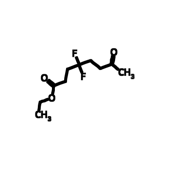 CCOC(=O)CCC(F)(F)CCC(C)=O